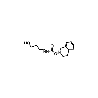 O=C(NCCCCO)ON1CCc2ccccc2C1